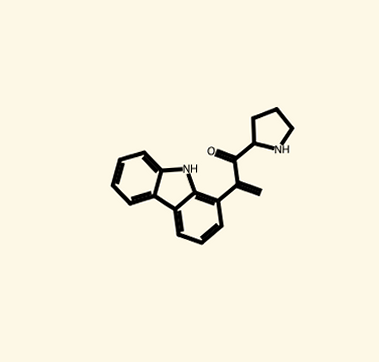 C=C(C(=O)C1CCCN1)c1cccc2c1[nH]c1ccccc12